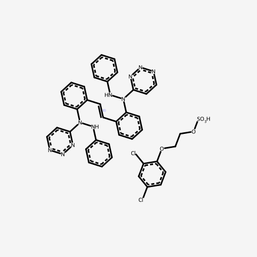 C(=C\c1ccccc1N(Nc1ccccc1)c1ccnnn1)/c1ccccc1N(Nc1ccccc1)c1ccnnn1.O=S(=O)(O)OCCOc1ccc(Cl)cc1Cl